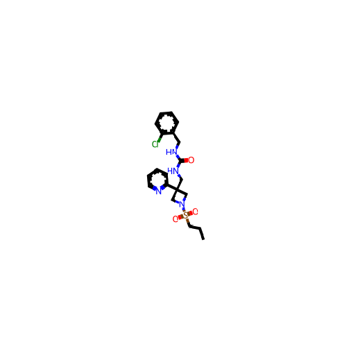 CCCS(=O)(=O)N1CC(CNC(=O)NCc2ccccc2Cl)(c2ccccn2)C1